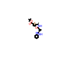 C[C@@H](NC(=O)C1C[C@H]1c1nc2ccccc2[nH]1)c1ccc(C(=O)OC(C)(C)C)s1